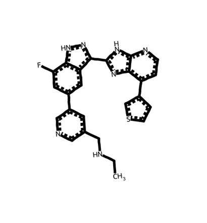 CCNCc1cncc(-c2cc(F)c3[nH]nc(-c4nc5c(-c6ccsc6)ccnc5[nH]4)c3c2)c1